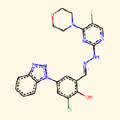 Oc1c(Cl)cc(-n2nnc3ccccc32)cc1/C=N/Nc1ncc(F)c(N2CCOCC2)n1